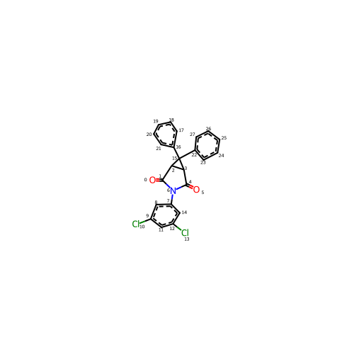 O=C1C2C(C(=O)N1c1cc(Cl)cc(Cl)c1)C2(c1ccccc1)c1ccccc1